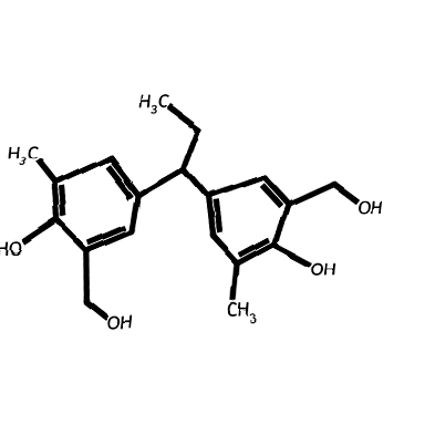 CCC(c1cc(C)c(O)c(CO)c1)c1cc(C)c(O)c(CO)c1